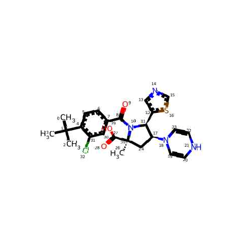 CC(C)(C)c1ccc(C(=O)N2[C@@H](c3cncs3)[C@@H](N3C=CNC=C3)C[C@@]2(C)C(=O)O)cc1Cl